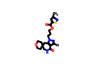 CCc1nn(CCCOC(=O)c2cc(C)ns2)c2c1C(=O)NCC1(CCOCC1)C2